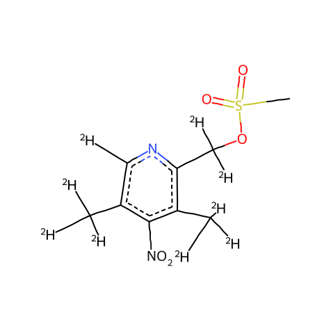 [2H]c1nc(C([2H])([2H])OS(C)(=O)=O)c(C([2H])([2H])[2H])c([N+](=O)[O-])c1C([2H])([2H])[2H]